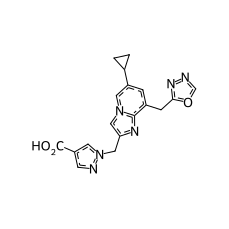 O=C(O)c1cnn(Cc2cn3cc(C4CC4)cc(Cc4nnco4)c3n2)c1